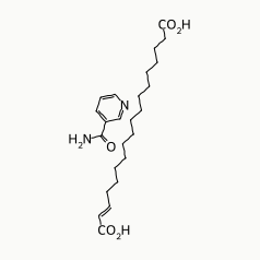 NC(=O)c1cccnc1.O=C(O)C=CCCCCCCCCCCCCCCC(=O)O